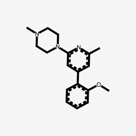 COc1ccccc1-c1cc(C)nc(N2CCN(C)CC2)c1